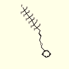 FC(F)(F)C(F)(F)C(F)(F)C(F)(F)C(F)(F)C(F)(F)C/C=C/COCc1ccccc1